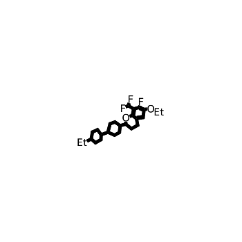 CCOc1cc2c(c(C(F)F)c1F)OC(C1CCC(C3CCC(CC)CC3)CC1)CC2